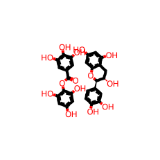 O=C(Oc1c(O)cc(O)cc1O)c1cc(O)c(O)c(O)c1.Oc1cc(O)c2c(c1)O[C@H](c1ccc(O)c(O)c1)[C@@H](O)C2